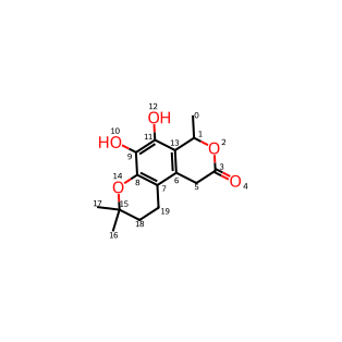 CC1OC(=O)Cc2c3c(c(O)c(O)c21)OC(C)(C)CC3